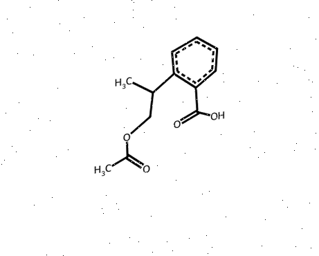 CC(=O)OCC(C)c1ccccc1C(=O)O